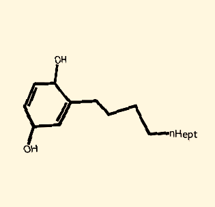 CCCCCCCCCCCC1=CC(O)C=CC1O